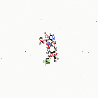 COc1ccnc(C(=O)N[C@H]2CCC[C@H](OCC(C)C)[C@@H](OC/C=C/C(F)(F)F)[C@H](C)OC2=O)c1OCOC(C)=O